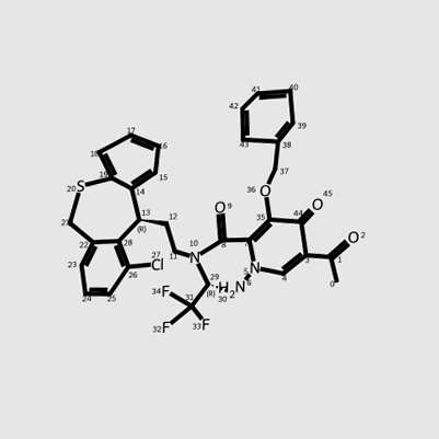 CC(=O)c1cn(N)c(C(=O)N(CC[C@@H]2c3ccccc3SCc3cccc(Cl)c32)[C@H](C)C(F)(F)F)c(OCc2ccccc2)c1=O